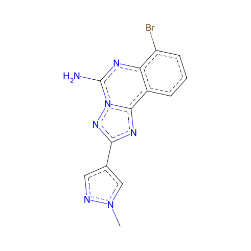 Cn1cc(-c2nc3c4cccc(Br)c4nc(N)n3n2)cn1